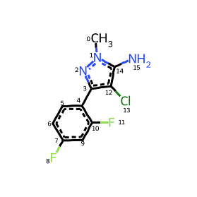 Cn1nc(-c2ccc(F)cc2F)c(Cl)c1N